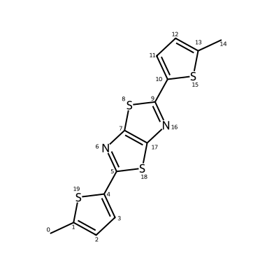 Cc1ccc(-c2nc3sc(-c4ccc(C)s4)nc3s2)s1